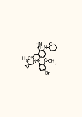 COc1cc(Br)ccc1[C@@H]1c2ccc(NC3CCCCO3)c(C=N)c2C[C@@H](C)N1CC1(F)CC1